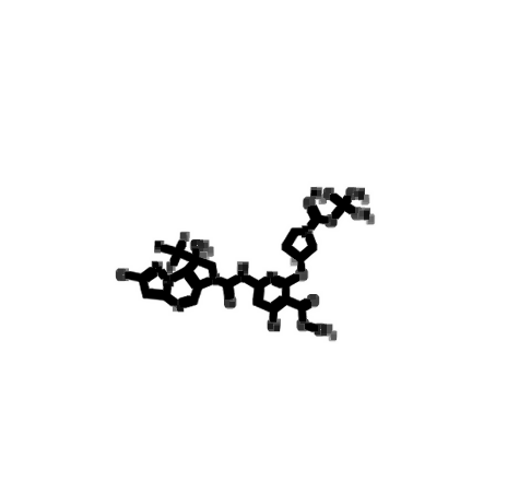 COC(=O)c1c(Cl)cc(NC(=O)N2C[C@@](C)(C(F)(F)F)c3c2cnc2cc(Cl)nn32)nc1O[C@H]1CCN(C(=O)OC(C)(C)C)C1